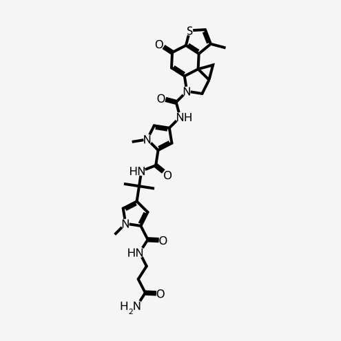 Cc1csc2c1C13CC1CN(C(=O)Nc1cc(C(=O)NC(C)(C)c4cc(C(=O)NCCC(N)=O)n(C)c4)n(C)c1)C3=CC2=O